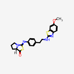 COc1ccc2nc(NCCc3ccc(/N=C4\SC(=O)[C@@H]5CCCN45)cc3)sc2c1